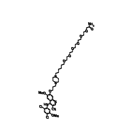 COc1cc(Nc2c(C#N)cnc3cc(OCCCN4CCN(CCCCCCOCCOCCOCCOCCOCCOCC(N)=O)CC4)c(OC)cc23)c(Cl)cc1Cl